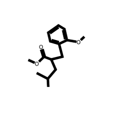 COC(=O)C(Cc1ccccc1OC)CC(C)C